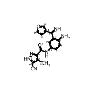 Cc1c(C(=O)Nc2ccc(N)c(C(=N)c3ccoc3)c2)n[nH]c1C#N